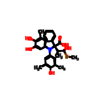 CSC(O)C(C)[C@](C(=O)O)(c1ccccc1)N(c1cc(C)c(O)c(C)c1)c1cc(C)c(O)c(O)c1